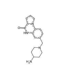 NC1CCN(Cc2ccc3c(c2)[nH]c(=O)c2cccn23)CC1